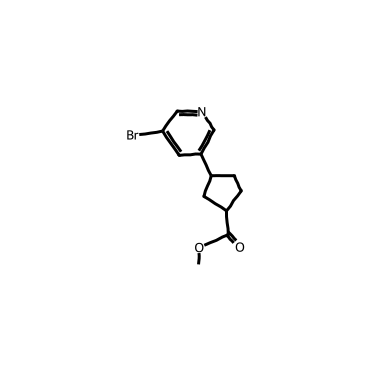 COC(=O)C1CCC(c2cncc(Br)c2)C1